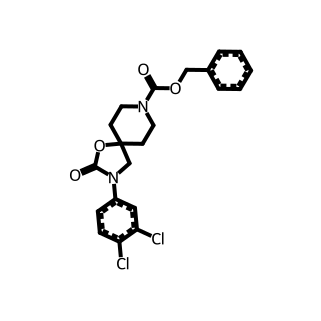 O=C(OCc1ccccc1)N1CCC2(CC1)CN(c1ccc(Cl)c(Cl)c1)C(=O)O2